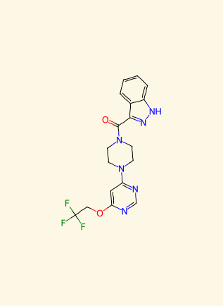 O=C(c1n[nH]c2ccccc12)N1CCN(c2cc(OCC(F)(F)F)ncn2)CC1